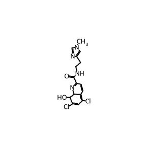 Cn1cnc(CCNC(=O)C2=NC3C(=C(Cl)C=C(Cl)C3O)C=C2)c1